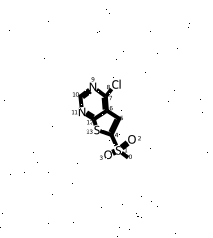 CS(=O)(=O)c1cc2c(Cl)ncnc2s1